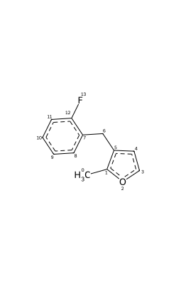 Cc1occc1Cc1ccccc1F